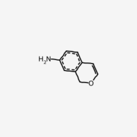 Nc1ccc2c(c1)COC=C2